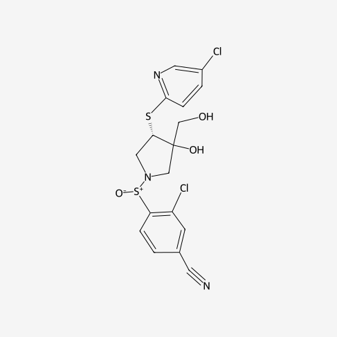 N#Cc1ccc([S+]([O-])N2C[C@H](Sc3ccc(Cl)cn3)C(O)(CO)C2)c(Cl)c1